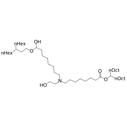 CCCCCCCCC(CCCCCCCC)OC(=O)CCCCCCCN(CCO)CCCCCCCC(O)OCCC(CCCCCC)CCCCCC